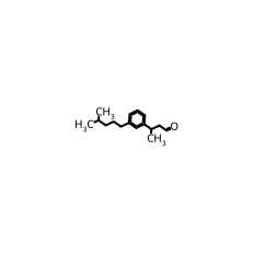 CC(C)CCCc1cccc(C(C)CC=O)c1